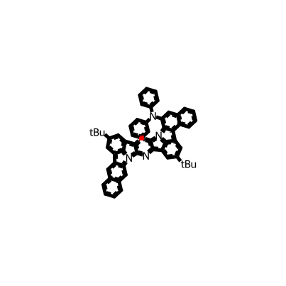 CC(C)(C)c1cc2c3cc4ccccc4cc3n3c4nc5c6cc(C(C)(C)C)cc7c8c9ccccc9cc(N(c9ccccc9)c9ccccc9)c8n(c5nc4c(c1)c23)c67